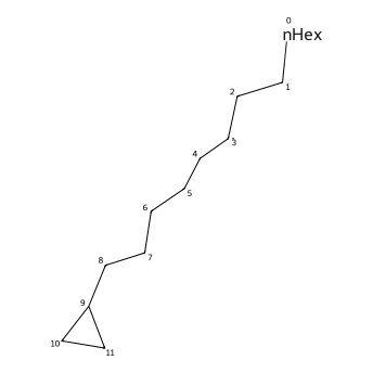 CCCCCCCC[CH]CCCCCC1CC1